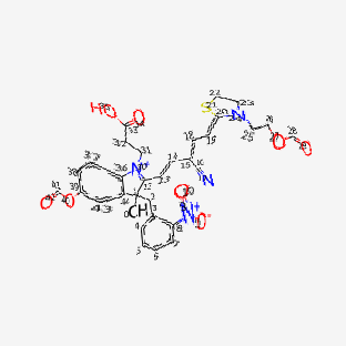 CC1(Cc2ccccc2[N+](=O)[O-])C(/C=C/C(C#N)=C/C=C2\SCCN2CCOC=O)=[N+](CCC(=O)O)c2ccc(OC=O)cc21